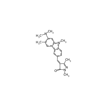 CC1=NN(C)C(=O)/C1=C/c1ccc2c(c1)c1cc(C)c(N(C)C)cc1n2C